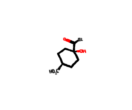 CCC(=O)[C@]1(O)CC[C@@H](C(=O)O)CC1